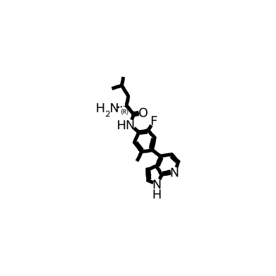 Cc1cc(NC(=O)[C@H](N)CC(C)C)c(F)cc1-c1ccnc2[nH]ccc12